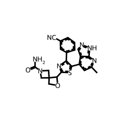 Cc1cc(-c2sc(C3OCC34CN(C(N)=O)C4)nc2-c2cccc(C#N)c2)c2cn[nH]c2n1